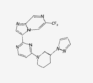 FC(F)(F)c1cn2c(-c3nccc(N4CCCC(n5cccn5)C4)n3)cnc2cn1